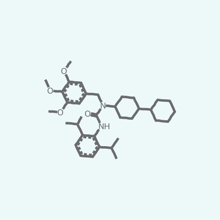 COc1cc(CN(C(=O)Nc2c(C(C)C)cccc2C(C)C)C2CCC(C3CCCCC3)CC2)cc(OC)c1OC